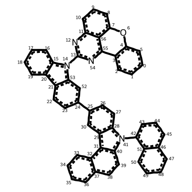 c1ccc2c(c1)Oc1cccc3nc(-n4c5ccccc5c5ccc(-c6ccc7c(c6)c6c8ccccc8ccc6n7-c6cccc7ccccc67)cc54)nc-2c13